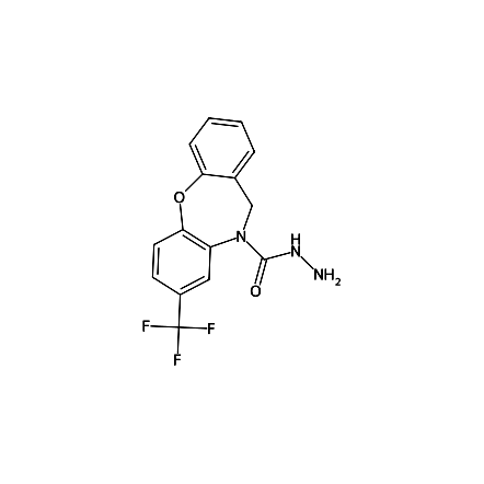 NNC(=O)N1Cc2ccccc2Oc2ccc(C(F)(F)F)cc21